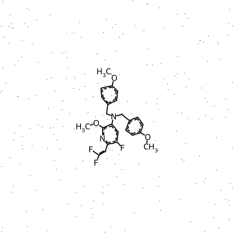 COc1ccc(CN(Cc2ccc(OC)cc2)c2cc(F)c(C=C(F)F)nc2OC)cc1